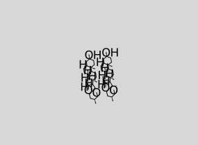 C[C@H]1CC[C@@]2(OC1)O[C@H]1C[C@H]3[C@@H]4CC[C@@H]5C[C@@H](O)CC[C@]5(C)[C@H]4CC[C@]3(C)[C@H]1[C@@H]2C.C[C@H]1CC[C@@]2(OC1)O[C@H]1C[C@H]3[C@@H]4CC[C@@H]5C[C@@H](O)CC[C@]5(C)[C@H]4CC[C@]3(C)[C@H]1[C@@H]2C